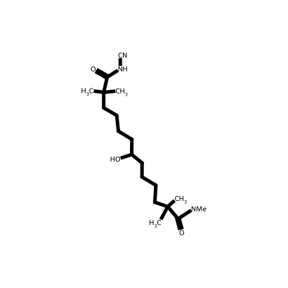 CNC(=O)C(C)(C)CCCCC(O)CCCCC(C)(C)C(=O)NC#N